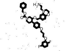 NCCN1CCOc2ccc(COC3CN(C(=O)OCc4ccccc4)CCC3c3ccc(OCCCOc4cc(F)ccc4F)cc3)cc21